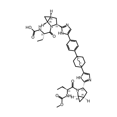 CC[C@H](NC(=O)O)C(=O)N1[C@@H]2C[C@@H]2C[C@H]1c1ncc(-c2ccc(C34CCC(c5cnc([C@@H]6C[C@H]7C[C@H]7N6C(=O)[C@H](CC)NC(=O)OC)[nH]5)(CC3)CC4)cc2)[nH]1